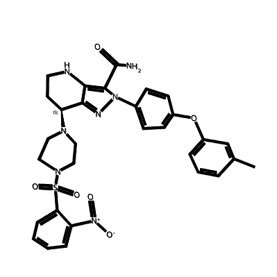 Cc1cccc(Oc2ccc(-n3nc4c(c3C(N)=O)NCC[C@@H]4N3CCN(S(=O)(=O)c4ccccc4[N+](=O)[O-])CC3)cc2)c1